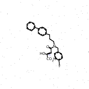 O=C(O)/C(O)=C/C(=O)N(CCCc1ccc(-c2ccccc2)cc1)Cc1ccc(F)cc1